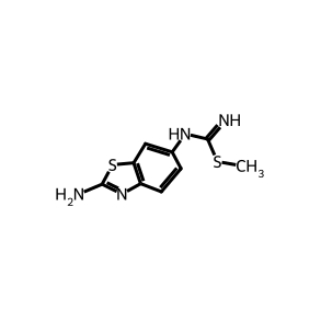 CSC(=N)Nc1ccc2nc(N)sc2c1